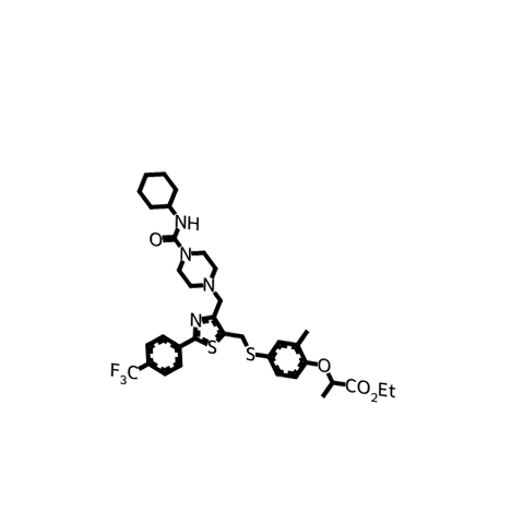 CCOC(=O)C(C)Oc1ccc(SCc2sc(-c3ccc(C(F)(F)F)cc3)nc2CN2CCN(C(=O)NC3CCCCC3)CC2)cc1C